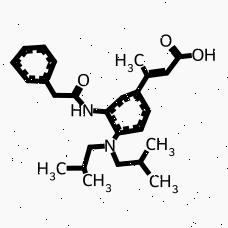 C/C(=C\C(=O)O)c1ccc(N(CC(C)C)CC(C)C)c(NC(=O)Cc2ccccc2)c1